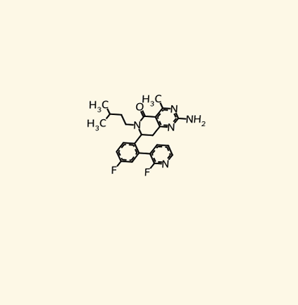 Cc1nc(N)nc2c1C(=O)N(CCC(C)C)C(c1ccc(F)cc1-c1cccnc1F)C2